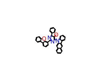 c1ccc2cc3c(cc2c1)c1ccccc1n3-c1nc(-c2cccc3c2oc2ccccc23)nc2c1oc1ccccc12